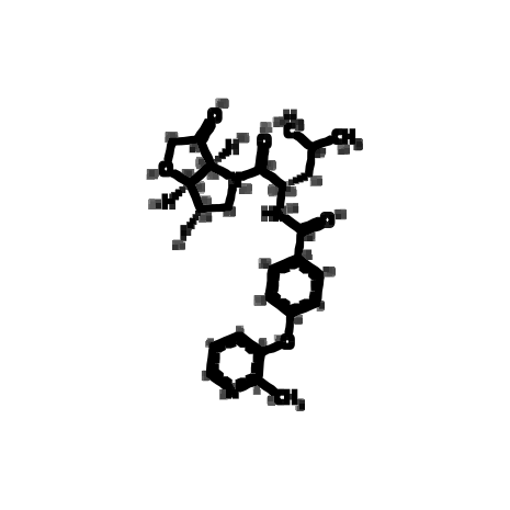 Cc1ncccc1Oc1ccc(C(=O)N[C@@H](CC(C)C)C(=O)N2C[C@H](F)[C@H]3OCC(=O)[C@H]32)cc1